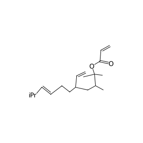 C=CC(=O)OC(C)(C)C(C)CC(C=C)CC/C=C/C(C)C